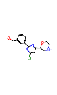 OCc1cccc(-c2nc(Cl)cc(C3CNCCO3)n2)c1